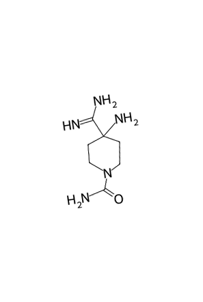 N=C(N)C1(N)CCN(C(N)=O)CC1